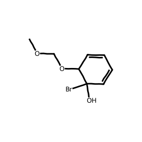 COCOC1C=CC=CC1(O)Br